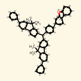 CC1(C)c2cc(-c3ccccc3)ccc2-c2ccc(C(c3ccc(-c4ccc5c(c4)oc4ccccc45)cc3)c3ccc4c(c3)C(C)(C)c3cc(-c5ccccc5)ccc3-4)cc21